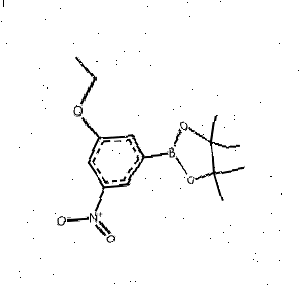 CCOc1cc(B2OC(C)(C)C(C)(C)O2)cc([N+](=O)[O-])c1